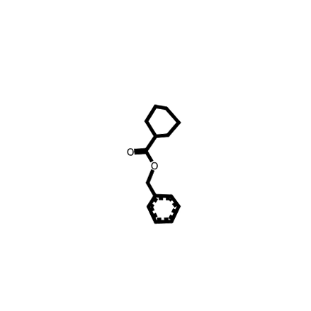 O=C(OCc1ccccc1)[C]1CCCCC1